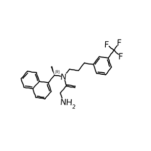 C=C(CN)N(CCCc1cccc(C(F)(F)F)c1)[C@H](C)c1cccc2ccccc12